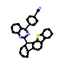 N#Cc1ccc(-c2nc(C3c4ccccc4-c4ccc5c(sc6ccccc65)c43)nc3ccccc23)cc1